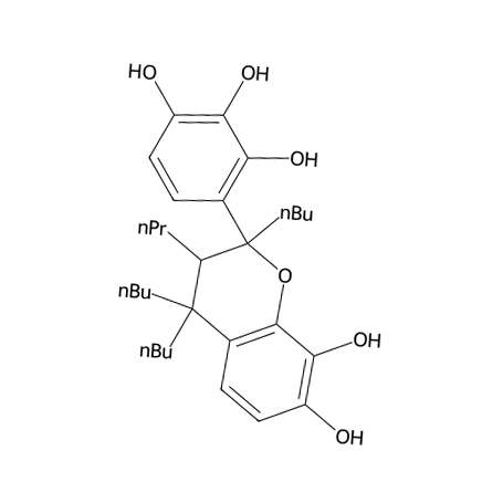 CCCCC1(CCCC)c2ccc(O)c(O)c2OC(CCCC)(c2ccc(O)c(O)c2O)C1CCC